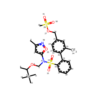 Cc1cc(N(COC(C)[Si](C)(C)C)S(=O)(=O)c2ccccc2-c2ccc(COS(C)(=O)=O)cc2C(F)(F)F)on1